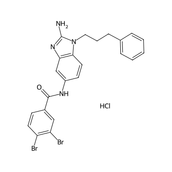 Cl.Nc1nc2cc(NC(=O)c3ccc(Br)c(Br)c3)ccc2n1CCCc1ccccc1